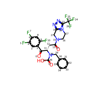 O=C(c1cc(F)c(F)cc1F)[C@H](CC(=O)N1CCn2c(nnc2C(F)(F)F)C1)N(Cc1ccccc1)C(=O)O